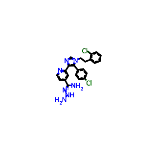 NN/N=C(\N)c1ccnc(-c2ncn(CCc3ccccc3Cl)c2-c2ccc(Cl)cc2)c1